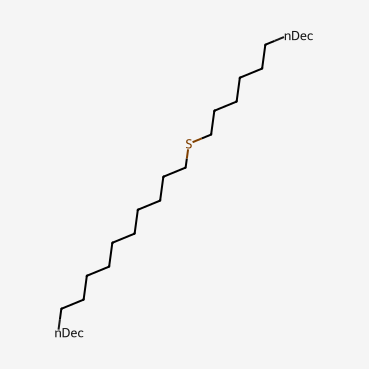 CCCCCCCCCCCCCCCCCCCCSCCCCCCCCCCCCCCCC